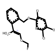 O=C(O)/C(=C\OCF)c1ccccc1COc1nc(Cl)c(Cl)cc1Cl